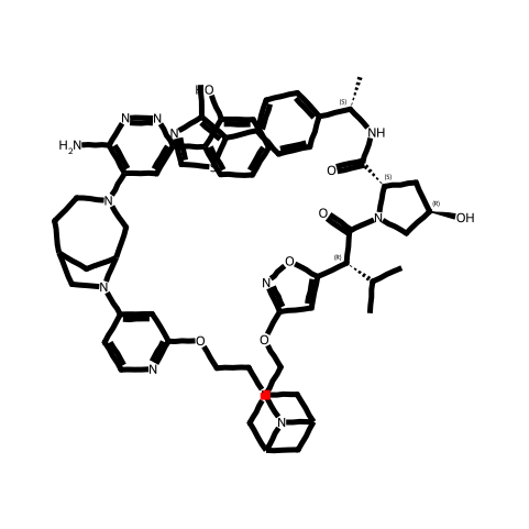 Cc1ncsc1-c1ccc([C@H](C)NC(=O)[C@@H]2C[C@@H](O)CN2C(=O)[C@@H](c2cc(OCCN3C4CC3CN(CCOc3cc(N5CC6CCN(c7cc(-c8ccccc8O)nnc7N)CC5C6)ccn3)C4)no2)C(C)C)cc1